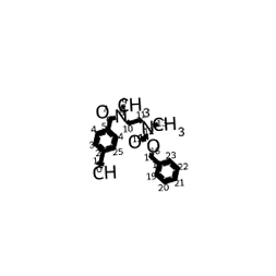 C#Cc1ccc(C(=O)N(C)CCN(C)C(=O)OCc2ccccc2)cc1